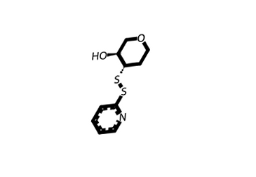 O[C@H]1COCC[C@@H]1SSc1ccccn1